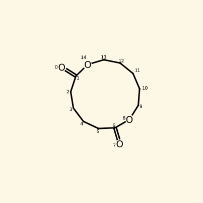 O=C1CCCCC(=O)OCCCCCO1